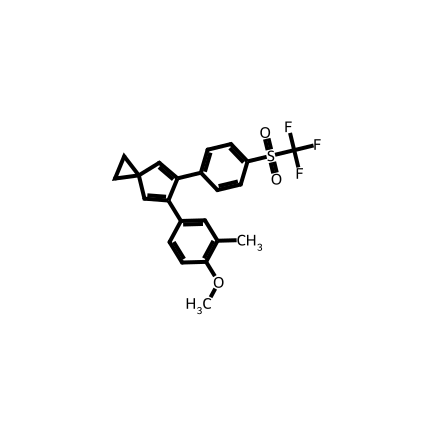 COc1ccc(C2=CC3(C=C2c2ccc(S(=O)(=O)C(F)(F)F)cc2)CC3)cc1C